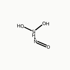 O=N[SiH](O)O